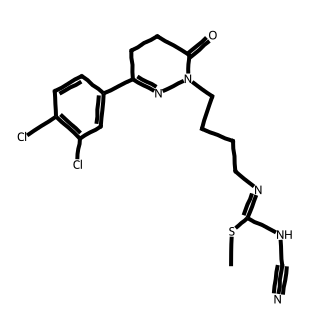 CSC(=NCCCCN1N=C(c2ccc(Cl)c(Cl)c2)CCC1=O)NC#N